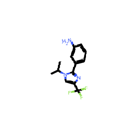 CC(C)n1cc(C(F)(F)F)nc1-c1cccc(N)c1